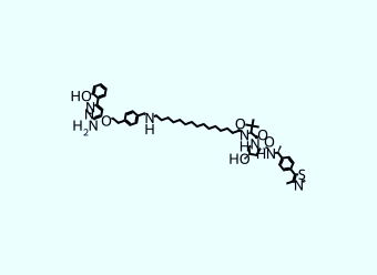 Cc1ncsc1-c1ccc([C@H](C)NC(=O)[C@@H]2C[C@@H](O)CN2C(=O)[C@@H](NC(=O)CCCCCCCCCCCCCCNCc2ccc(CCOc3cc(-c4ccccc4O)nnc3N)cc2)C(C)(C)C)cc1